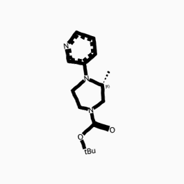 C[C@@H]1CN(C(=O)OC(C)(C)C)CCN1c1cccnc1